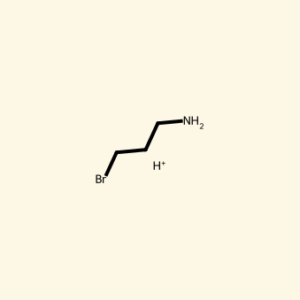 NCCCBr.[H+]